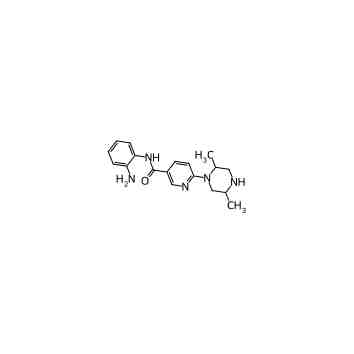 CC1CN(c2ccc(C(=O)Nc3ccccc3N)cn2)C(C)CN1